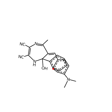 CC1=NC(C#N)=C(C#N)NC(O)(c2ccccc2)C1=Cc1ccc(N(C)C)cc1